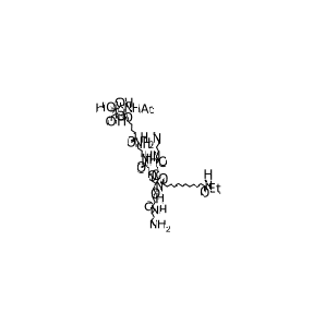 CCNC(=O)CCCCCCCCCCC(=O)NC(COCCC(=O)NCCCN)(COCCC(=O)NCCCN)COCCC(=O)NCCCNC(=O)CCCCO[C@@H]1OC(CO)[C@H](O)C(O)C1NC(C)=O